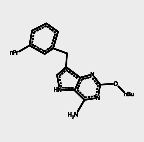 CCCCOc1nc(N)c2[nH]cc(Cc3cccc(CCC)c3)c2n1